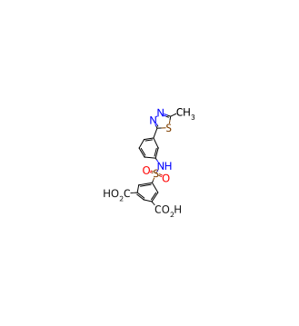 Cc1nnc(-c2cccc(NS(=O)(=O)c3cc(C(=O)O)cc(C(=O)O)c3)c2)s1